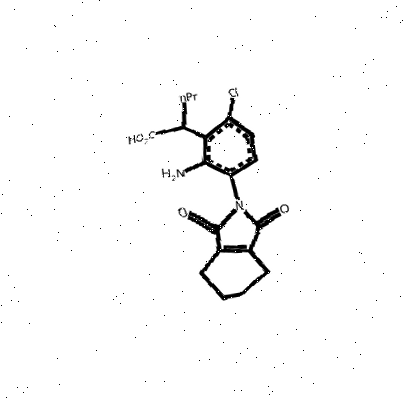 CCCC(C(=O)O)c1c(Cl)ccc(N2C(=O)C3=C(CCCC3)C2=O)c1N